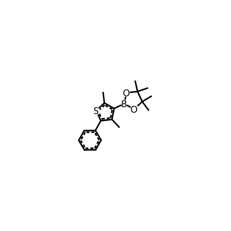 Cc1sc(-c2ccccc2)c(C)c1B1OC(C)(C)C(C)(C)O1